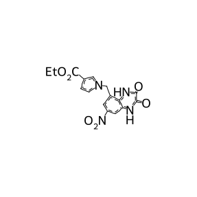 CCOC(=O)c1ccn(Cc2cc([N+](=O)[O-])cc3[nH]c(=O)c(=O)[nH]c23)c1